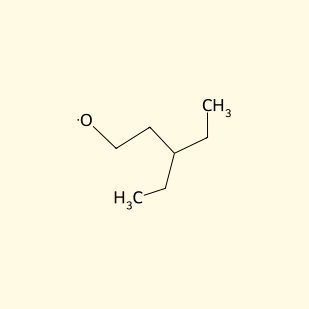 CCC(CC)CC[O]